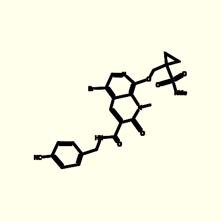 CNS(=O)(=O)C1(COc2ncc(Br)c3cc(C(=O)NCc4ccc(C#N)cc4)c(=O)n(C)c23)CC1